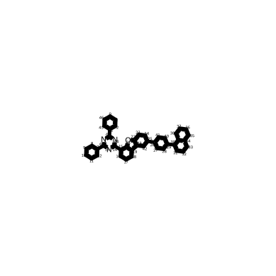 c1ccc(-c2nc(-c3ccccc3)nc(-c3cccc4c3oc3ccc(-c5ccc(-c6cccc7ccccc67)cc5)cc34)n2)cc1